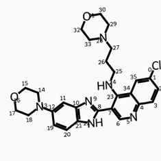 Clc1ccc2ncc(-c3nc4cc(N5CCOCC5)ccc4[nH]3)c(NCCCN3CCOCC3)c2c1